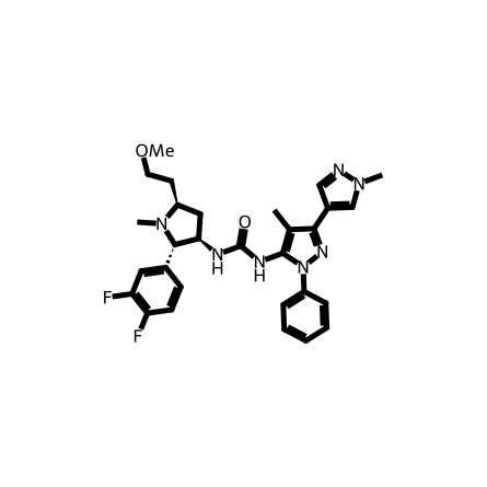 COCC[C@H]1C[C@@H](NC(=O)Nc2c(C)c(-c3cnn(C)c3)nn2-c2ccccc2)[C@H](c2ccc(F)c(F)c2)N1C